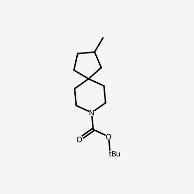 CC1CCC2(CCN(C(=O)OC(C)(C)C)CC2)C1